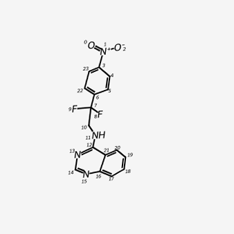 O=[N+]([O-])c1ccc(C(F)(F)CNc2ncnc3ccccc23)cc1